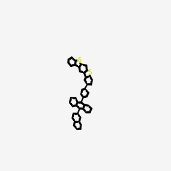 c1ccc2cc(-c3c4ccccc4c(-c4ccc(-c5ccc6sc7cc8sc9ccccc9c8cc7c6c5)cc4)c4ccccc34)ccc2c1